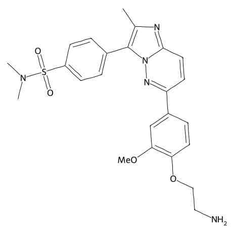 COc1cc(-c2ccc3nc(C)c(-c4ccc(S(=O)(=O)N(C)C)cc4)n3n2)ccc1OCCN